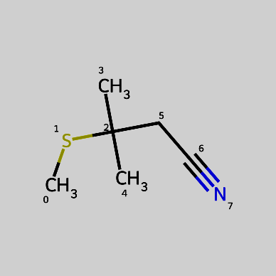 CSC(C)(C)CC#N